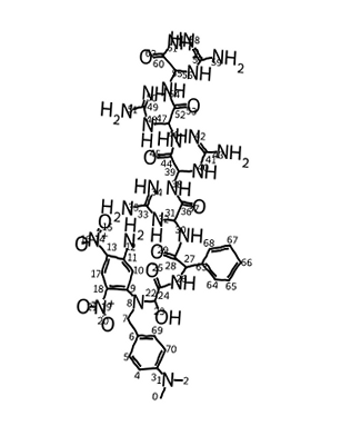 CN(C)c1ccc(CN(c2cc(N)c([N+](=O)[O-])cc2[N+](=O)[O-])C(O)C(=O)NC(C(=O)NC(NC(=N)N)C(=O)NC(NC(=N)N)C(=O)NC(NC(=N)N)C(=O)NC(NC(=N)N)C(N)=O)c2ccccc2)cc1